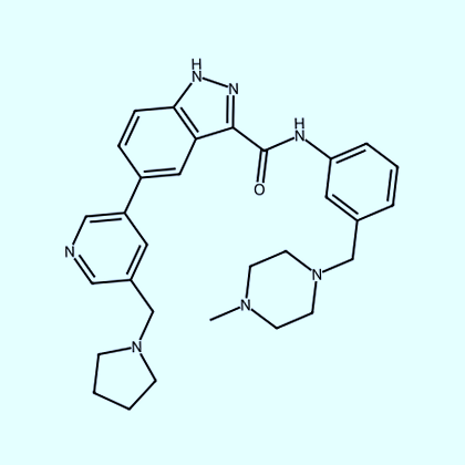 CN1CCN(Cc2cccc(NC(=O)c3n[nH]c4ccc(-c5cncc(CN6CCCC6)c5)cc34)c2)CC1